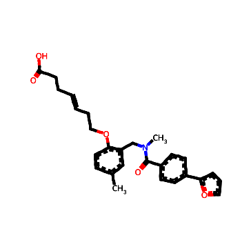 Cc1ccc(OCC/C=C/CCC(=O)O)c(CN(C)C(=O)c2ccc(-c3ccco3)cc2)c1